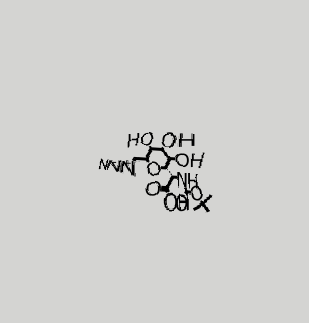 CC(C)(C)OC(=O)NC(C(=O)O)[C@@H]1OC(CN=[N+]=[N-])[C@@H](O)[C@H](O)C1O